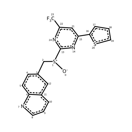 [O-][S+](Cc1ccc2ncccc2c1)c1nc(-c2cccs2)cc(C(F)(F)F)n1